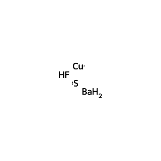 F.[BaH2].[Cu].[S]